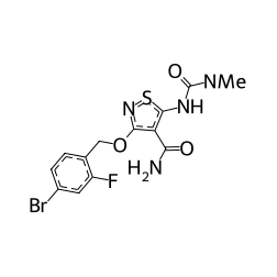 CNC(=O)Nc1snc(OCc2ccc(Br)cc2F)c1C(N)=O